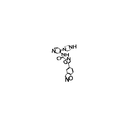 O=C(Nc1cnccc1N1CCNCC1)c1ncc(-c2ccc3oncc3c2)o1